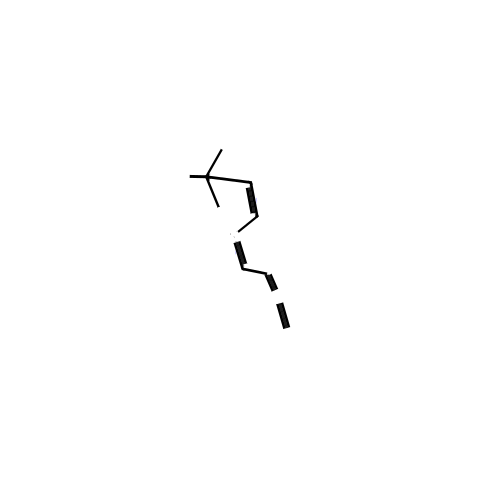 C=C=C/C=N\C=C/C(C)(C)C